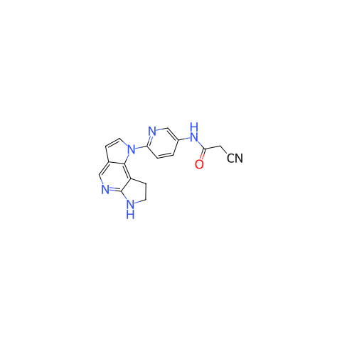 N#CCC(=O)Nc1ccc(-n2ccc3cnc4c(c32)CCN4)nc1